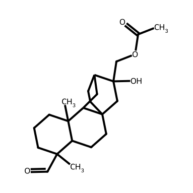 CC(=O)OCC1(O)CC23CCC1CC2C1(C)CCCC(C)(C=O)C1CC3